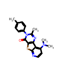 Cc1ccc(-n2c(C)nc3c(sc4nccc(N(C)C)c43)c2=O)cc1